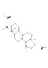 CC(=O)OC[C@]12CC[C@H](OC(C)=O)C[C@@H]1CC[C@@H]1[C@@H]2CC[C@]2(C)[C@@H](OC(C)=O)C[C@@H]3O[C@]312